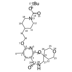 Cc1cc2c(nc1OCCC1CCN(C(=O)OC(C)(C)C)CC1)OC1(CCOCC1)CN[S+]2[O-]